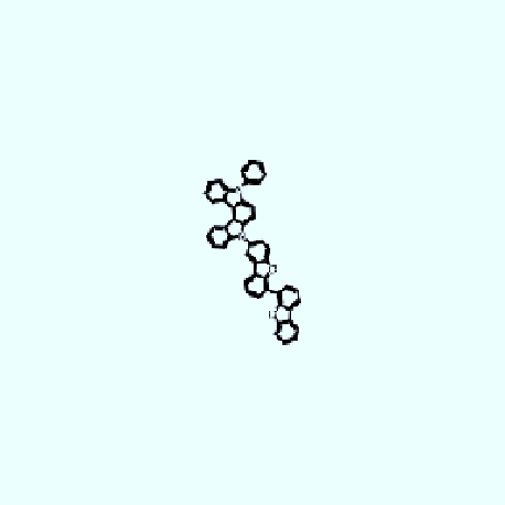 c1ccc(-n2c3ccccc3c3c4c5ccccc5n(-c5ccc6oc7c(-c8cccc9c8oc8ccccc89)cccc7c6c5)c4ccc32)cc1